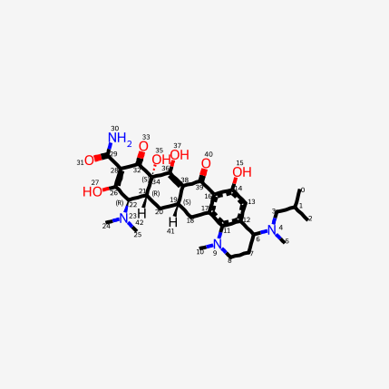 CC(C)CN(C)C1CCN(C)c2c1cc(O)c1c2C[C@@H]2C[C@@H]3[C@@H](N(C)C)C(O)=C(C(N)=O)C(=O)[C@@]3(O)C(O)=C2C1=O